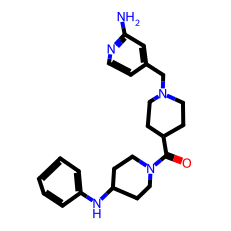 Nc1cc(CN2CCC(C(=O)N3CCC(Nc4ccccc4)CC3)CC2)ccn1